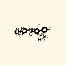 O=C(Nc1cnc(-n2nccn2)c(Cl)c1)c1ccc(-c2ccc(F)cc2N(Cl)C(=O)O)c(F)c1